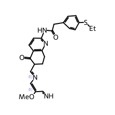 CCSc1ccc(CC(=O)Nc2ccc3c(n2)CCC(/C=N/C=C(\C=N)OC)C3=O)cc1